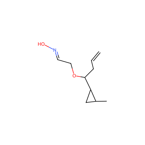 C=CCC(OCC=NO)C1CC1C